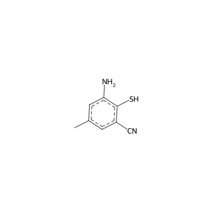 Cc1cc(N)c(S)c(C#N)c1